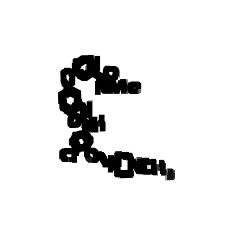 CNC(=O)c1cc(Oc2ccc3oc(Nc4ccc(Cl)c(OCCN5CCN(C)CC5)c4)nc3c2)ccn1